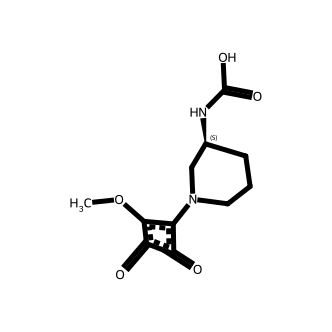 COc1c(N2CCC[C@H](NC(=O)O)C2)c(=O)c1=O